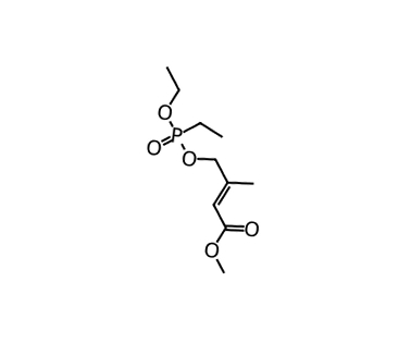 CCOP(=O)(CC)OCC(C)=CC(=O)OC